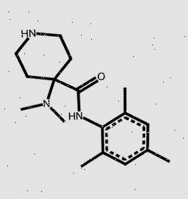 Cc1cc(C)c(NC(=O)C2(N(C)C)CCNCC2)c(C)c1